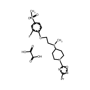 CC(C)c1noc(N2CCC(N(C)CCOc3ccc(S(C)(=O)=O)cc3F)CC2)n1.O=C(O)C(=O)O